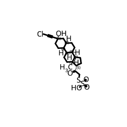 C[C@]12CC[C@H]3[C@@H](CC[C@@H]4C[C@](O)(C#CCl)CC[C@@H]43)[C@@H]1CC[C@@H]2C(=O)CSS(=O)(=O)O